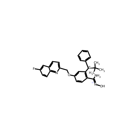 CC(C)(C)[C@H](c1ccccc1)c1cc(OCc2ccc3cc(F)ccc3n2)ccc1/C(N)=N/O